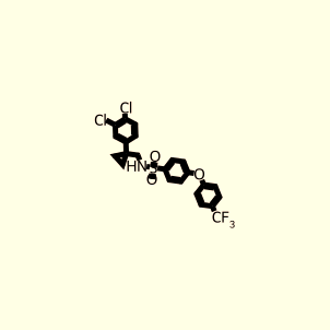 O=S(=O)(NCC1(c2ccc(Cl)c(Cl)c2)CC1)c1ccc(Oc2ccc(C(F)(F)F)cc2)cc1